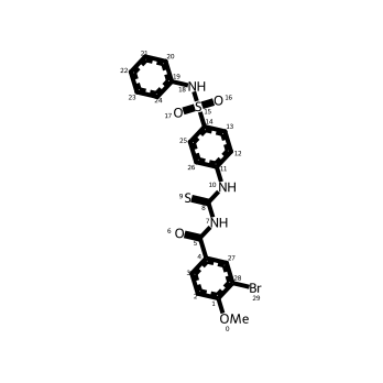 COc1ccc(C(=O)NC(=S)Nc2ccc(S(=O)(=O)Nc3ccccc3)cc2)cc1Br